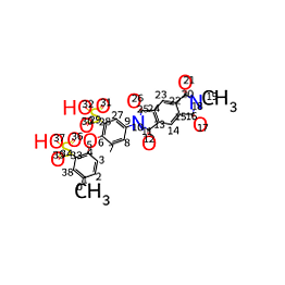 Cc1ccc(Oc2ccc(-n3c(=O)c4cc5c(=O)n(C)c(=O)c5cc4c3=O)cc2S(=O)(=O)O)c(S(=O)(=O)O)c1